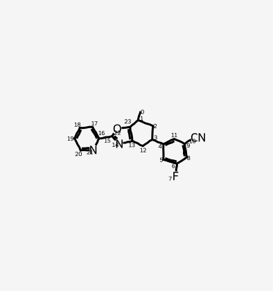 CC1CC(c2cc(F)cc(C#N)c2)Cc2nc(-c3ccccn3)oc21